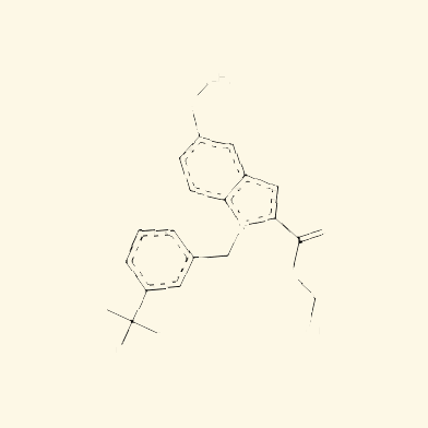 CCOC(=O)c1cc2cc(OC)ccc2n1Cc1cccc(C(F)(F)F)c1